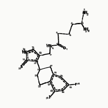 NC(N)CCCC(=O)NCc1c[nH]c(=S)n1C1CCc2c(F)cc(F)cc2C1